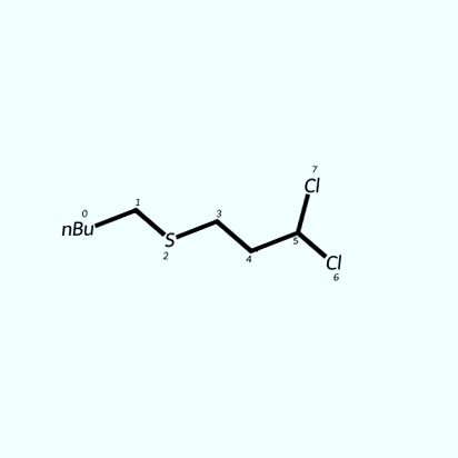 CCCCCSC[CH]C(Cl)Cl